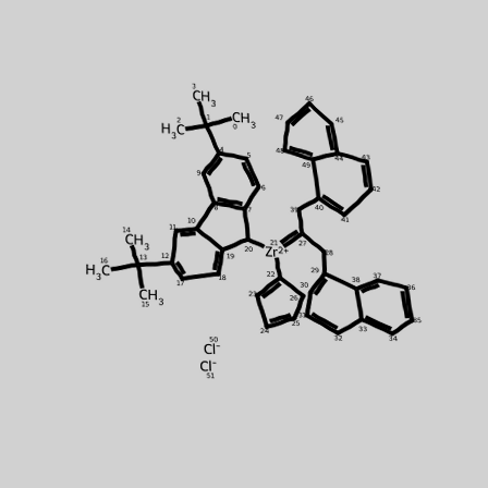 CC(C)(C)c1ccc2c(c1)-c1cc(C(C)(C)C)ccc1[CH]2[Zr+2]([C]1=CC=CC1)=[C](Cc1cccc2ccccc12)Cc1cccc2ccccc12.[Cl-].[Cl-]